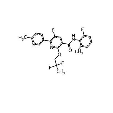 Cc1ccc(-c2nc(OCC(C)(F)F)c(C(=O)Nc3c(C)cccc3F)cc2F)cn1